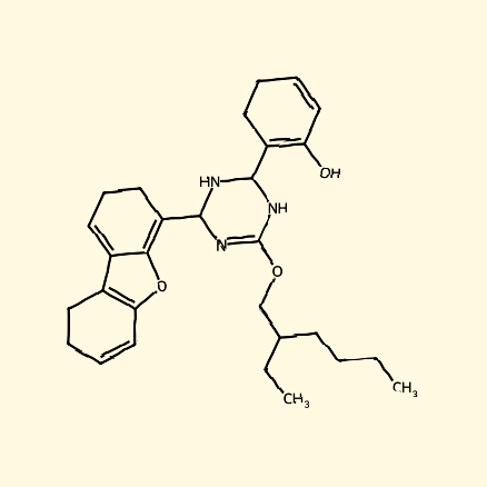 CCCCC(CC)COC1=NC(C2=c3oc4c(c3=CCC2)CCC=C4)NC(C2=C(O)C=CCC2)N1